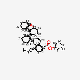 Cc1ccc(C(=O)OC2CCCCC2)c2c1CC(c1ccccc1)(c1ccc3oc4ccccc4c3c1)C=C2